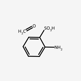 C=O.Nc1ccccc1S(=O)(=O)O